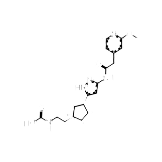 COc1cc(CC(=O)Nc2cc([C@H]3CC[C@@H](CCNC(=O)O)C3)[nH]n2)ccn1